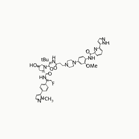 COc1cc(N2CCN(CCC(=O)N[C@H](C(=O)N3C[C@H](O)C[C@H]3C(=O)N[C@@H](CF)c3ccc(-c4ccnn4C)cc3)C(C)(C)C)CC2)ccc1NC(=O)c1cccc(-c2ccn[nH]2)n1